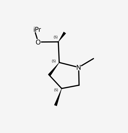 CC(C)O[C@@H](C)[C@@H]1C[C@H](C)CN1C